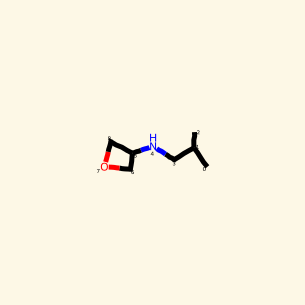 CC(C)CNC1COC1